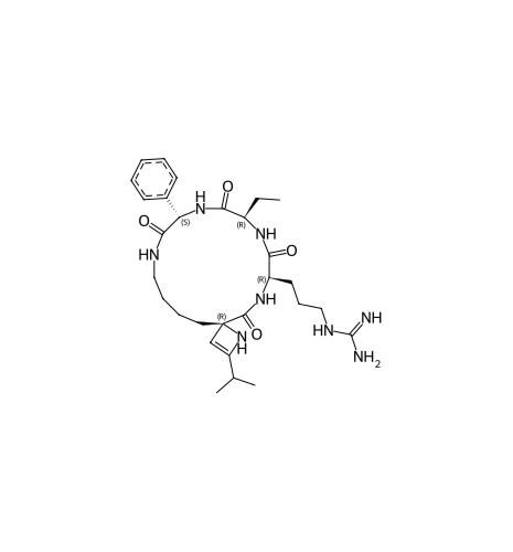 CC[C@H]1NC(=O)[C@@H](CCCNC(=N)N)NC(=O)[C@]2(C=C(C(C)C)N2)CCCCNC(=O)[C@H](c2ccccc2)NC1=O